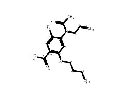 C=CCN(C(C)=O)c1cc(OCCCC)c(C(C)=O)cc1Br